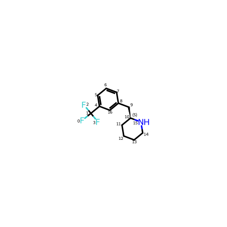 FC(F)(F)c1cccc(C[C@@H]2CCCCN2)c1